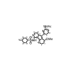 COc1ccnc2c1c(-c1ccnc(NC(C)=O)n1)c1ccnc(NS(=O)(=O)c3ccc(C)cc3)n12